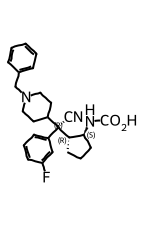 N#C[C@](c1cccc(F)c1)(C1CCN(Cc2ccccc2)CC1)[C@H]1CCC[C@@H]1NC(=O)O